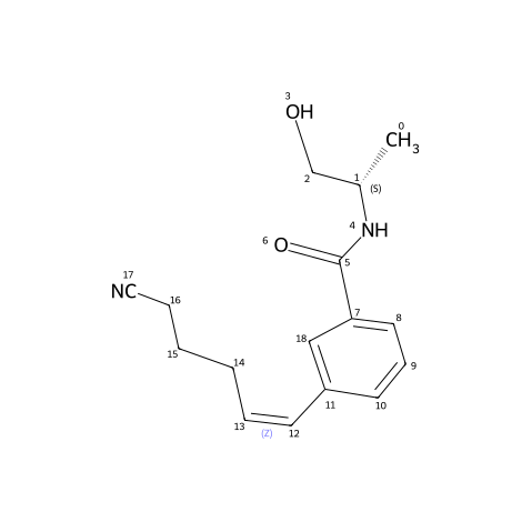 C[C@@H](CO)NC(=O)c1cccc(/C=C\CCCC#N)c1